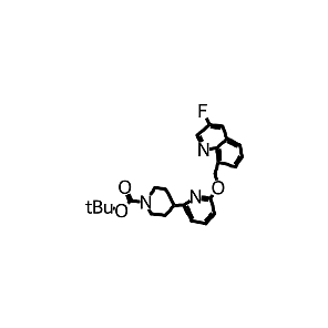 CC(C)(C)OC(=O)N1CCC(c2cccc(OCc3cccc4cc(F)cnc34)n2)CC1